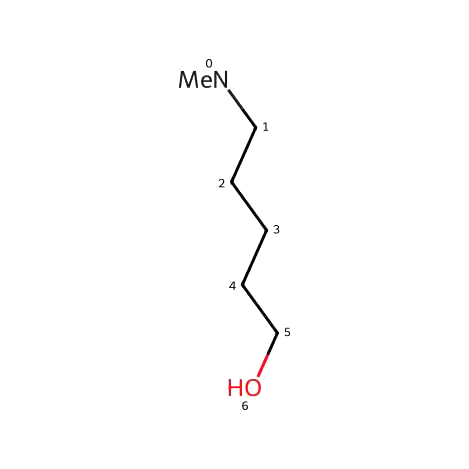 CNCCCCCO